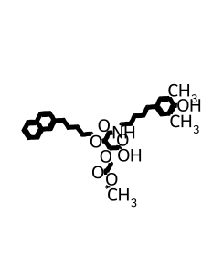 CCOC(=O)COC(C(=O)O)C(OCCCCCc1ccc2ccccc2c1)C(=O)NCCCCCc1cc(C)c(O)c(C)c1